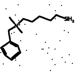 C[N+](C)(CCCCC[SiH3])Cc1ccccc1